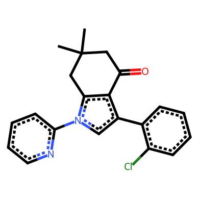 CC1(C)CC(=O)c2c(-c3ccccc3Cl)cn(-c3ccccn3)c2C1